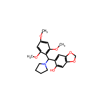 COc1cc(OC)c(C(c2cc3c(cc2O)OCO3)N2CCCC2)c(OC)c1